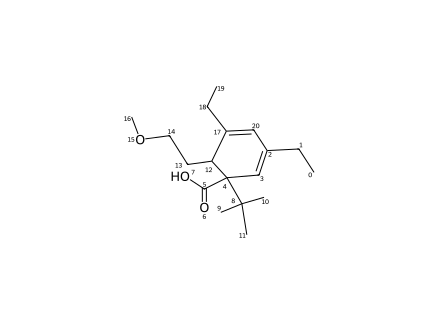 CCC1=CC(C(=O)O)(C(C)(C)C)C(CCOC)C(CC)=C1